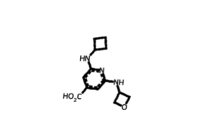 O=C(O)c1cc(NC2CCC2)nc(NC2COC2)c1